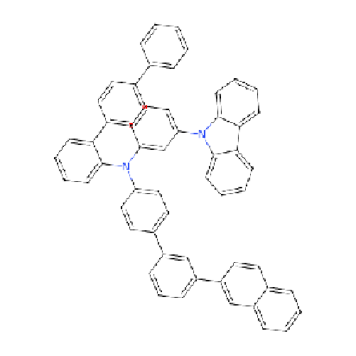 c1ccc(-c2ccc(-c3ccccc3N(c3ccc(-c4cccc(-c5ccc6ccccc6c5)c4)cc3)c3cccc(-n4c5ccccc5c5ccccc54)c3)cc2)cc1